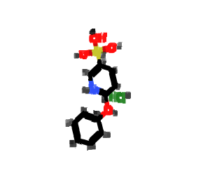 Cl.O=S(=O)(O)c1ccc(Oc2ccccc2)nc1